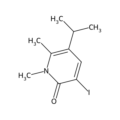 Cc1c(C(C)C)cc(I)c(=O)n1C